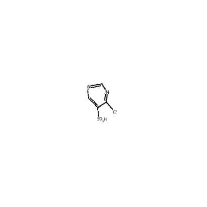 O=S(=O)(O)c1cncnc1Cl